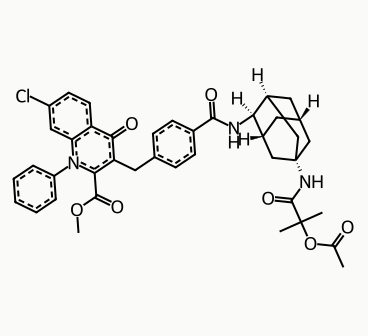 COC(=O)c1c(Cc2ccc(C(=O)N[C@@H]3[C@@H]4C[C@@H]5C[C@H]3C[C@@](NC(=O)C(C)(C)OC(C)=O)(C5)C4)cc2)c(=O)c2ccc(Cl)cc2n1-c1ccccc1